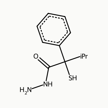 CC(C)C(S)(C(=O)NN)c1ccccc1